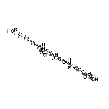 O=C(O)CCCCCCCCCCCCCCCCC(=O)NC(CCCCNC(=O)CCOCCOCCNC(=O)CCOCCOCCNC(=O)CCC(=O)O)C(=O)O